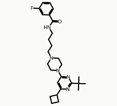 CC(C)(C)c1nc(C2CCC2)cc(N2CCN(CCCCNC(=O)c3cccc(F)c3)CC2)n1